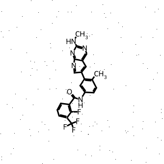 CNc1ncc2cc(-c3cc(NC(=O)c4cccc(C(F)(F)F)c4F)ccc3C)cnc2n1